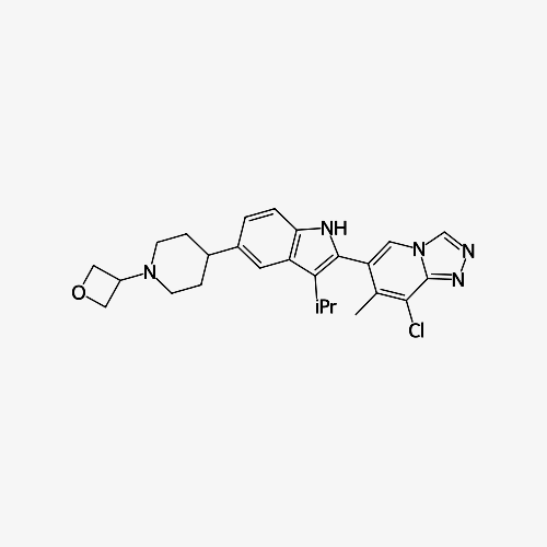 Cc1c(-c2[nH]c3ccc(C4CCN(C5COC5)CC4)cc3c2C(C)C)cn2cnnc2c1Cl